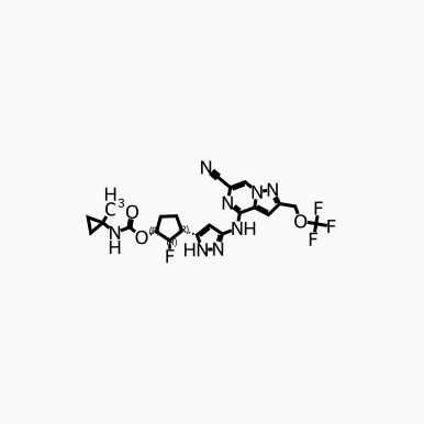 CC1(NC(=O)O[C@@H]2CC[C@H](c3cc(Nc4nc(C#N)cn5nc(COC(F)(F)F)cc45)n[nH]3)[C@H]2F)CC1